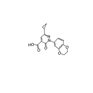 O=C(O)c1cc(C2CC2)nn(-c2ccc3c(c2)OCCO3)c1=O